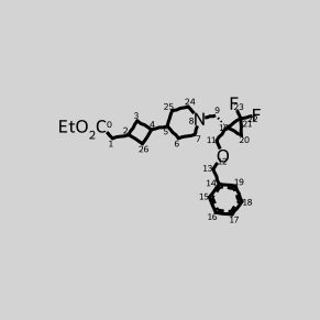 CCOC(=O)CC1CC(C2CCN(C[C@@]3(COCc4ccccc4)CC3(F)F)CC2)C1